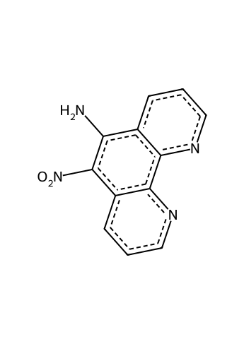 Nc1c([N+](=O)[O-])c2cccnc2c2ncccc12